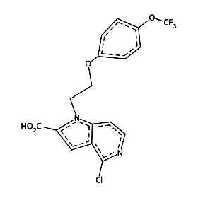 O=C(O)c1cc2c(Cl)nccc2n1CCOc1ccc(OC(F)(F)F)cc1